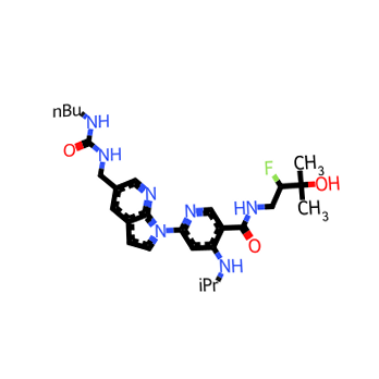 CCCCNC(=O)NCc1cnc2c(ccn2-c2cc(NC(C)C)c(C(=O)NCC(F)C(C)(C)O)cn2)c1